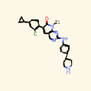 CCn1c(=O)c(-c2ccc(C3CC3)cc2Cl)cc2cnc(Nc3ccc(C4CCNCC4)cc3)nc21